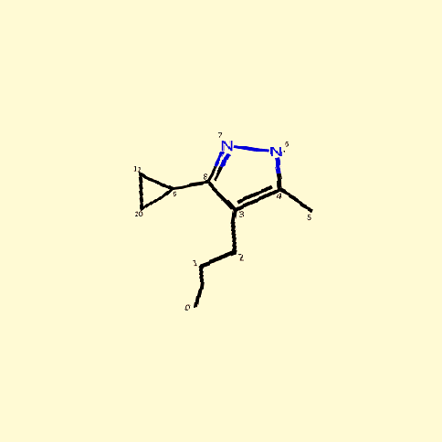 CCCC1=C(C)[N]N=C1C1CC1